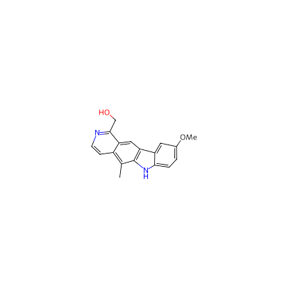 COc1ccc2[nH]c3c(C)c4ccnc(CO)c4cc3c2c1